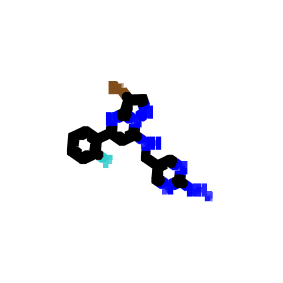 Nc1ncc(CNc2cc(-c3ccccc3F)nc3c(Br)cnn23)cn1